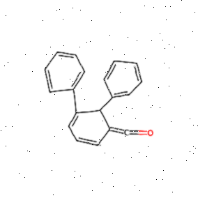 O=C=C1[C]=CC=C(c2ccccc2)C1c1ccccc1